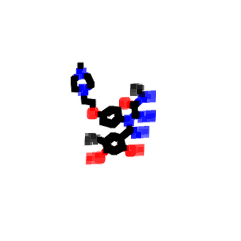 CCNC(=O)C(=N)N(C(=N)c1cc(C(C)C)c(O)cc1O)c1ccc(OCCN2CCN(C)CC2)cc1